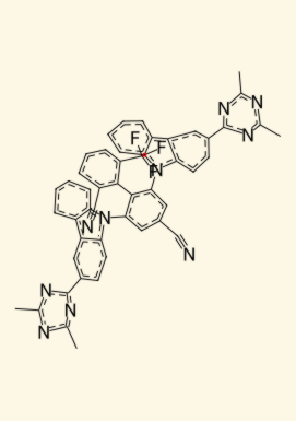 Cc1nc(C)nc(-c2ccc3c(c2)c2ccccc2n3-c2cc(C#N)cc(-n3c4ccccc4c4cc(-c5nc(C)nc(C)n5)ccc43)c2-c2c(C#N)cccc2C(F)(F)F)n1